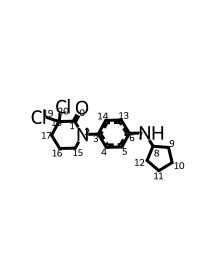 O=C1N(c2ccc(NC3CCCC3)cc2)CCCC1(Cl)Cl